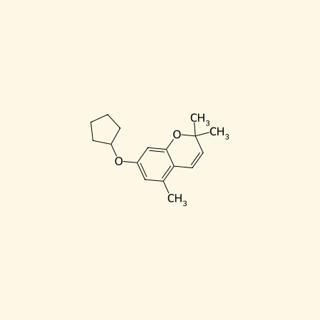 Cc1cc(OC2CCCC2)cc2c1C=CC(C)(C)O2